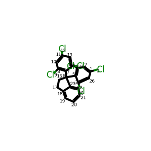 Clc1cc(Cl)c(C2(c3c(Cl)cc(Cl)cc3Cl)CCc3ccccc32)c(Cl)c1